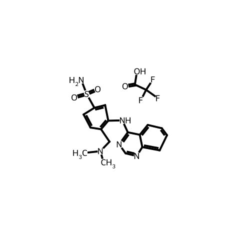 CN(C)Cc1ccc(S(N)(=O)=O)cc1Nc1ncnc2ccccc12.O=C(O)C(F)(F)F